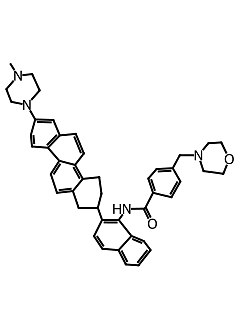 CN1CCN(c2ccc3c(ccc4c5c(ccc43)CC(c3ccc4ccccc4c3NC(=O)c3ccc(CN4CCOCC4)cc3)CC5)c2)CC1